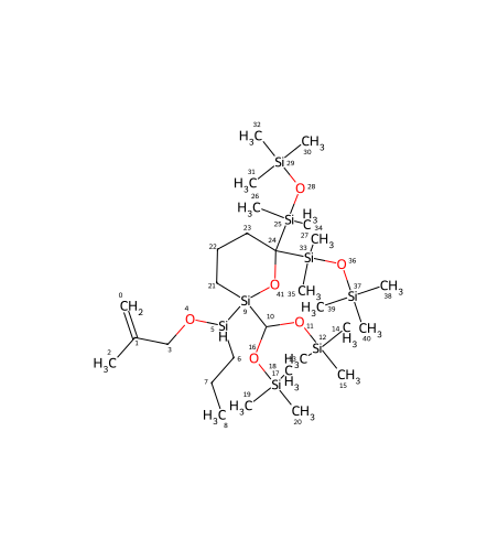 C=C(C)CO[SiH](CCC)[Si]1(C(O[Si](C)(C)C)O[Si](C)(C)C)CCCC([Si](C)(C)O[Si](C)(C)C)([Si](C)(C)O[Si](C)(C)C)O1